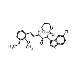 COc1cccc(C=CNC(=O)C(c2csc3ccc(Cl)cc23)P2(=O)OCCCO2)c1OC